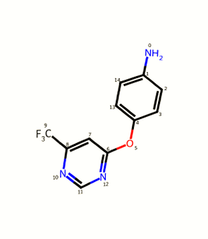 Nc1ccc(Oc2cc(C(F)(F)F)ncn2)cc1